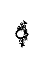 CC1(OC(=O)N[C@H]2CCCCC/C=C\[C@@H]3C[C@@]3(C(=O)NS(=O)(=O)C3CC3)NC(=O)[C@@H]3CCCN3C2=O)CC1